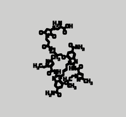 CCn1nc(C)cc1C(=O)Nc1nc2cc(C(N)=O)cc(OC)c2n1C/C=C/Cn1c(NC(=O)c2cc(C)nn2CC)nc2cc(C(N)=O)cc(OCCC3CN(C(=O)CCN4C(=O)CC(SCC(N)C(=O)O)C4=O)C3)c21